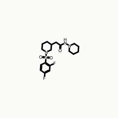 O=C(CC1CCCN(S(=O)(=O)c2ccc(F)cc2F)C1)NN1CCCCC1